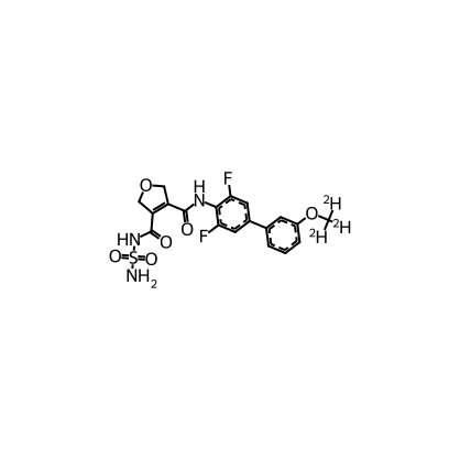 [2H]C([2H])([2H])Oc1cccc(-c2cc(F)c(NC(=O)C3=C(C(=O)NS(N)(=O)=O)COC3)c(F)c2)c1